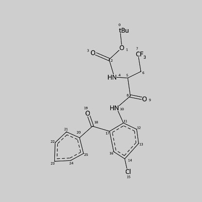 CC(C)(C)OC(=O)NC(CC(F)(F)F)C(=O)Nc1ccc(Cl)cc1C(=O)c1ccccc1